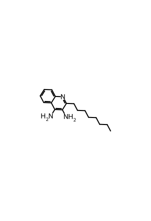 CCCCCCCCc1nc2ccccc2c(N)c1N